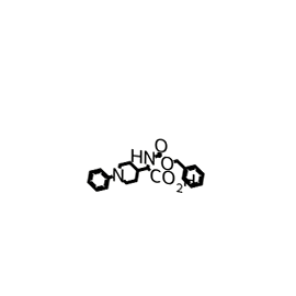 O=C(NC(C(=O)O)C1CCN(c2ccccc2)CC1)OCc1ccccc1